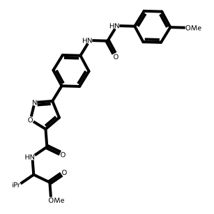 COC(=O)C(NC(=O)c1cc(-c2ccc(NC(=O)Nc3ccc(OC)cc3)cc2)no1)C(C)C